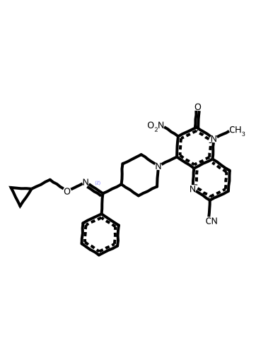 Cn1c(=O)c([N+](=O)[O-])c(N2CCC(/C(=N/OCC3CC3)c3ccccc3)CC2)c2nc(C#N)ccc21